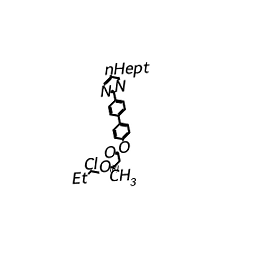 CCCCCCCc1cnc(-c2ccc(-c3ccc(OC(=O)C[C@@H](C)OCC(Cl)CC)cc3)cc2)nc1